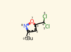 CC(C)(C)c1cc(C(Cl)Cl)on1